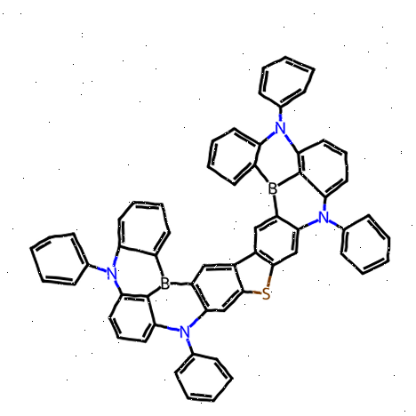 c1ccc(N2c3ccccc3B3c4cc5c(cc4N(c4ccccc4)c4cccc2c43)sc2cc3c(cc25)B2c4ccccc4N(c4ccccc4)c4cccc(c42)N3c2ccccc2)cc1